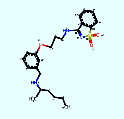 CCCCC(C)NCc1cccc(OCCCNC2=NS(=O)(=O)c3ccccc32)c1